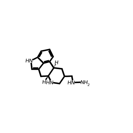 NNCC1CN[C@@H]2Cc3c[nH]c4cccc(c34)[C@H]2C1